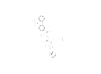 CCOC(=O)[C@@H]1C[C@]2(Cn3ccnn3)C[C@@H]2N1C(=O)CNC(=O)c1ccc2c(c1)-c1ccccc1C2(F)F